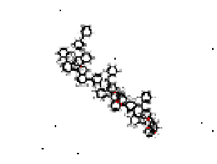 c1ccc(-c2ccc(N(c3cccc4ccccc34)c3cccc4oc5ccc6c(sc7ccc8c(-c9ccc(N(c%10ccccc%10)c%10ccc%11c(c%10)oc%10ccccc%10%11)c%10c9oc9ccc%11c(sc%12ccc%13c(-c%14ccc(N(c%15ccccc%15)c%15ccc(-c%16ccccc%16)cc%15)c%15c%14oc%14ccc%16c(sc%17ccc%18ccccc%18c%17%16)c%14%15)cccc%13c%12%11)c9%10)cccc8c76)c5c34)cc2)cc1